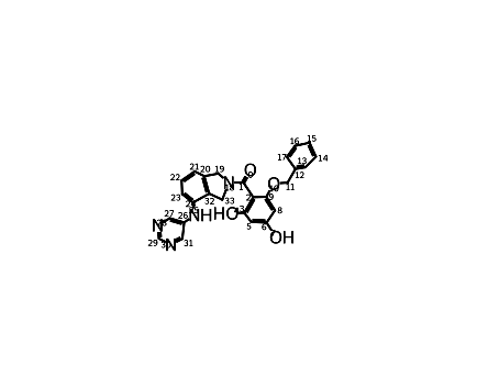 O=C(c1c(O)cc(O)cc1OCc1ccccc1)N1Cc2cccc(Nc3cncnc3)c2C1